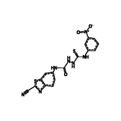 N#Cc1nc2ccc(NC(=O)NNC(=S)Nc3cccc([N+](=O)[O-])c3)cc2s1